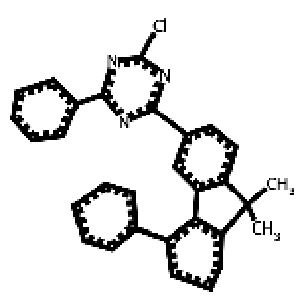 CC1(C)c2ccc(-c3nc(Cl)nc(-c4ccccc4)n3)cc2-c2c(-c3ccccc3)cccc21